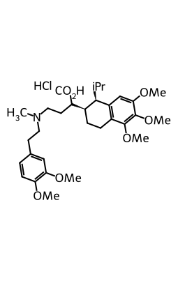 COc1ccc(CCN(C)CCC(C(=O)O)[C@@H]2CCc3c(cc(OC)c(OC)c3OC)[C@@H]2C(C)C)cc1OC.Cl